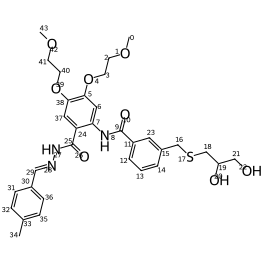 COCCOc1cc(NC(=O)c2cccc(CSCC(O)CO)c2)c(C(=O)NN=Cc2ccc(C)cc2)cc1OCCOC